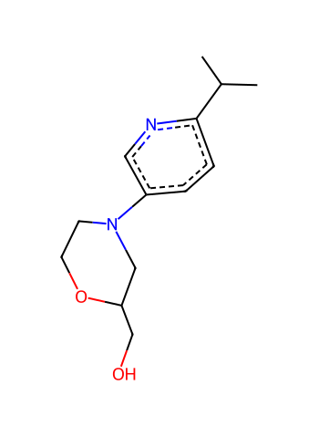 CC(C)c1ccc(N2CCOC(CO)C2)cn1